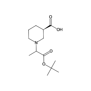 CC(C(=O)OC(C)(C)C)N1CCC[C@@H](C(=O)O)C1